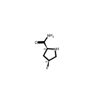 NC(=O)[C@@H]1C[C@H](F)CN1